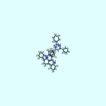 c1ccc(-c2cc(-c3ccc(-n4c5ccccc5c5ccc6c7ccccc7nc(-c7ccccc7)c6c54)cc3)nc(-c3ccccc3)n2)cc1